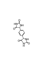 O=C1NC(=O)C(c2ccc(C3NC(=O)NC3=O)cc2)N1